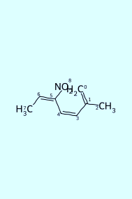 C=C(C)/C=C\C(=C/C)[N+](=O)[O-]